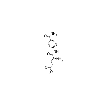 COC(=O)CC[C@H](N)C(=O)Nc1ccc(C(N)=O)cn1